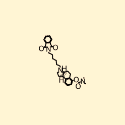 CN(C)C(=O)Oc1cccc2c1CC[C@@H]1[C@H]2CCN1CCCCCCN1C(=O)c2ccccc2C1=O